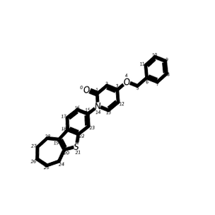 O=c1cc(OCc2ccccc2)ccn1-c1ccc2c3c(sc2c1)CCCCC3